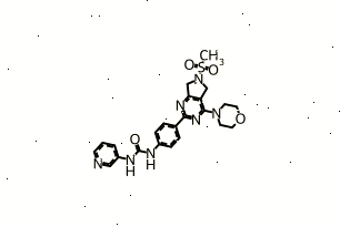 CS(=O)(=O)N1Cc2nc(-c3ccc(NC(=O)Nc4cccnc4)cc3)nc(N3CCOCC3)c2C1